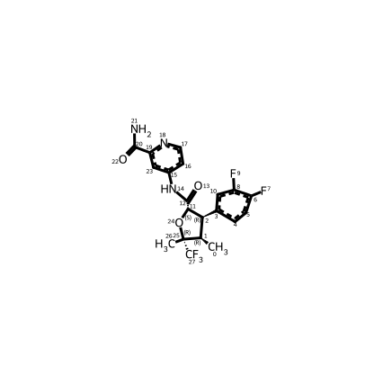 C[C@@H]1[C@H](c2ccc(F)c(F)c2)[C@@H](C(=O)Nc2ccnc(C(N)=O)c2)O[C@@]1(C)C(F)(F)F